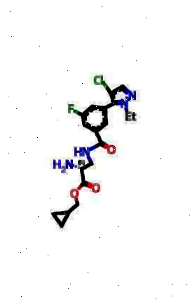 CCn1ncc(Cl)c1-c1cc(F)cc(C(=O)NC[C@@H](N)C(=O)OCC2CC2)c1